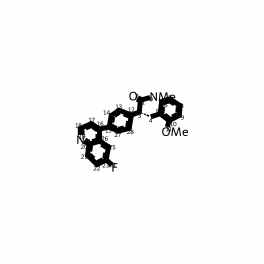 CNC(=O)[C@H](Cc1ccccc1OC)c1ccc(-c2ccnc3ccc(F)cc23)cc1